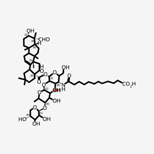 CC1O[C@@H](OC2C(O)[C@@H](NC(=O)CCCCCCCCCCC(=O)O)C(CO)O[C@H]2OC(=O)[C@]23CCC(C)(C)CC2C2=CCC4C5(C)CC[C@H](O)[C@](C)(C=O)[C@@H]5CCC4(C)[C@]2(C)CC3O)C(O)C(O)[C@H]1O[C@@H]1OC[C@@H](O)C(O)C1O